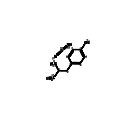 NC(Cc1ccc(O)cc1)C(=O)O.[N-]=[N+]=N